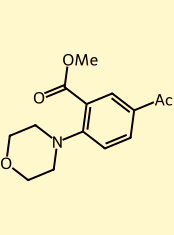 COC(=O)c1cc(C(C)=O)ccc1N1CCOCC1